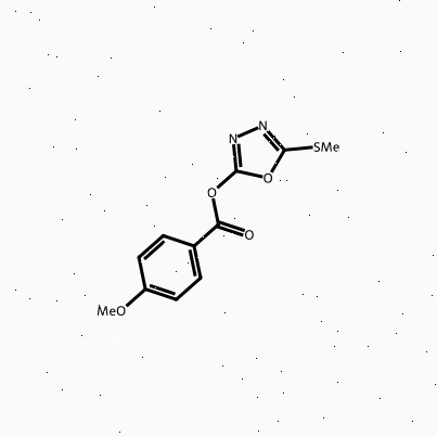 COc1ccc(C(=O)Oc2nnc(SC)o2)cc1